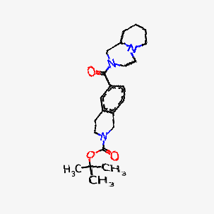 CC(C)(C)OC(=O)N1CCc2cc(C(=O)N3CCN4CCCCC4C3)ccc2C1